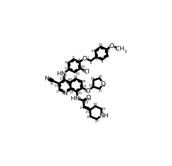 COc1ccc(COc2ccc(Nc3c(C#N)cnc4c(NC(=O)C=C5CCNCC5)c(OC5CCOC5)ccc34)cc2Cl)cc1